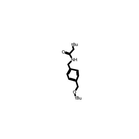 CC(C)(C)CC(=O)NCc1ccc(COC(C)(C)C)cc1